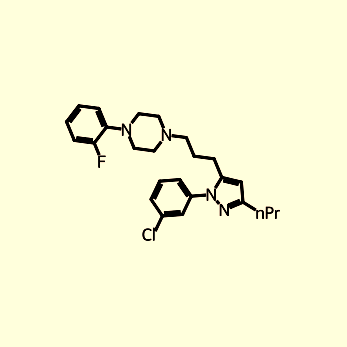 CCCc1cc(CCCN2CCN(c3ccccc3F)CC2)n(-c2cccc(Cl)c2)n1